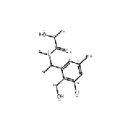 CC(O)C(=O)N(C)C(C)c1cc(F)cc(Cl)c1CO